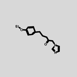 CCOc1ccc(CCCC(=O)Cn2ccnc2)cc1